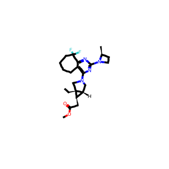 CC[C@@]12CN(c3nc(N4CC[C@@H]4C)nc4c3CCCCC4(F)F)C[C@@H]1[C@H]2CC(=O)OC